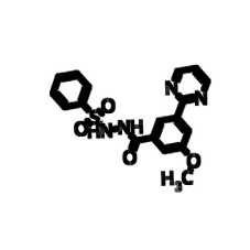 COc1cc(C(=O)NNS(=O)(=O)c2ccccc2)cc(-c2ncccn2)c1